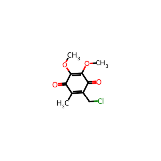 COC1=C(OC)C(=O)C(CCl)=C(C)C1=O